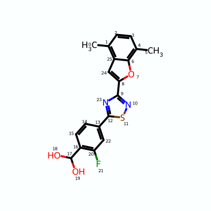 Cc1ccc(C)c2oc(-c3nsc(-c4ccc(C(O)O)c(F)c4)n3)cc12